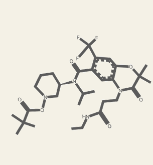 CCNC(=O)CCN1C(=O)C(C)(C)Oc2cc(C(F)(F)F)c(C(=O)N(C(C)C)[C@@H]3CCCN(OC(=O)C(C)(C)C)C3)cc21